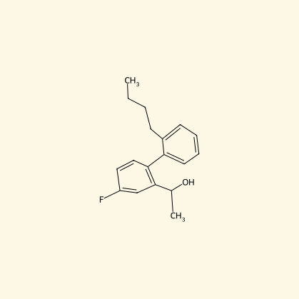 CCCCc1ccccc1-c1ccc(F)cc1C(C)O